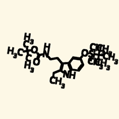 CCc1[nH]c2ccc(O[Si](C)(C)C(C)(C)C)cc2c1CCNC(=O)OC(C)(C)C